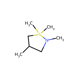 CC1CN(C)S(C)(C)C1